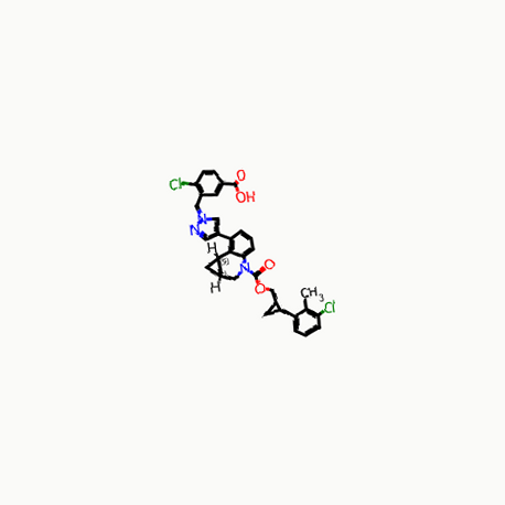 Cc1c(Cl)cccc1C1CC1COC(=O)N1C[C@@H]2C[C@@H]2c2c(-c3cnn(Cc4cc(C(=O)O)ccc4Cl)c3)cccc21